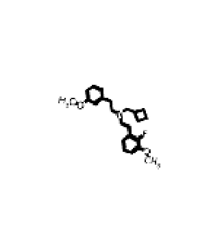 COc1cccc(CCN(CCc2cccc(OC)c2F)CC2CCC2)c1